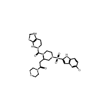 O=C(CC1CN(S(=O)(=O)c2cc3cc(Cl)ccc3[nH]2)CCN1C(=O)N1CCC2=C(N1)SCN2)N1CCOCC1